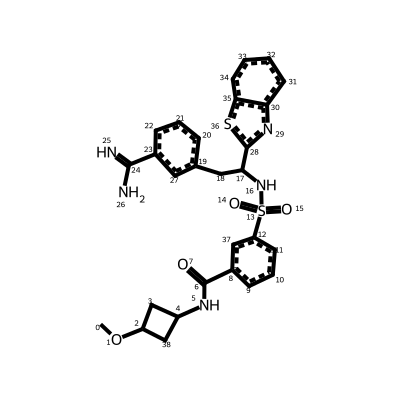 COC1CC(NC(=O)c2cccc(S(=O)(=O)NC(Cc3cccc(C(=N)N)c3)c3nc4ccccc4s3)c2)C1